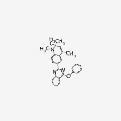 CC1=CC(C)(C)N(C)c2ccc(-c3nc(Oc4ccccc4)c4ccccc4n3)cc21